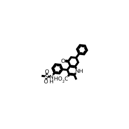 CC1=C(C(=O)O)C(c2cccc(NS(C)(=O)=O)c2)C2=C(CC(c3ccccc3)CC2=O)N1